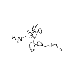 NCCCOc1ccccc1-c1cc(=O)[nH]c(=S)n1CCN